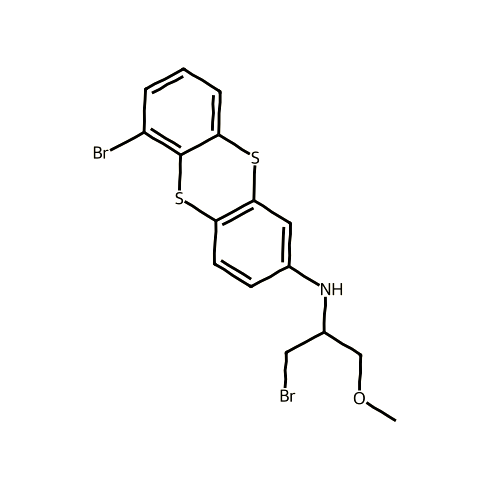 COCC(CBr)Nc1ccc2c(c1)Sc1cccc(Br)c1S2